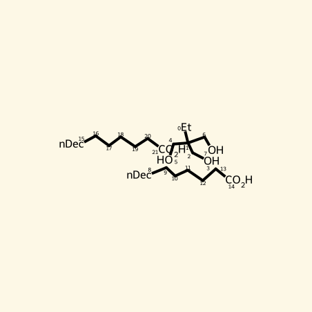 CCC(CO)(CO)CO.CCCCCCCCCCCCCCCC(=O)O.CCCCCCCCCCCCCCCC(=O)O